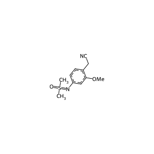 COc1cc(N=S(C)(C)=O)ccc1CC#N